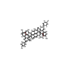 Cc1ccc(-c2cc(F)c(N(c3ccccc3)c3ccc4ccc5c(N(c6ccccc6)c6c(F)cc(-c7ccc(C)cc7)cc6-c6ccc(C)cc6)ccc6ccc3c4c65)c(-c3ccc(C)cc3)c2)cc1